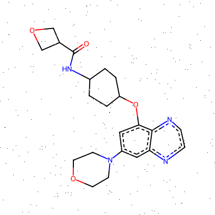 O=C(NC1CCC(Oc2cc(N3CCOCC3)cc3nccnc23)CC1)C1COC1